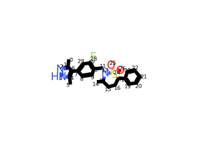 Cc1n[nH]c(C)c1-c1ccc(CN2C(C)CCC(c3ccccc3)S2(=O)=O)c(F)c1